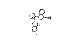 N#Cc1ccc(N2CCCCN2CCc2ccc(F)cc2Cl)c2ccccc12